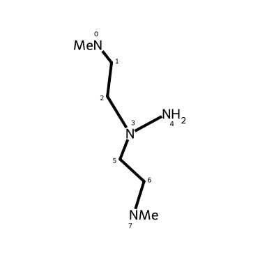 CNCCN(N)CCNC